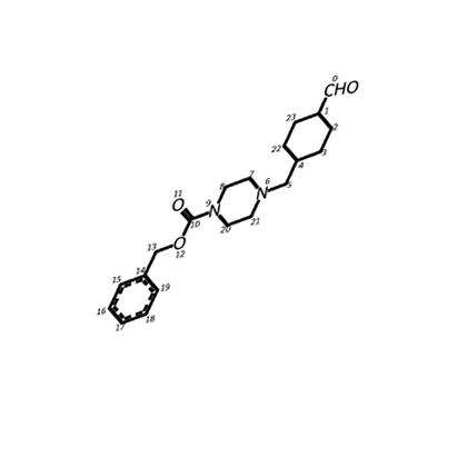 O=CC1CCC(CN2CCN(C(=O)OCc3ccccc3)CC2)CC1